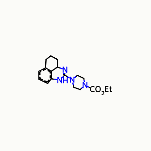 CCOC(=O)N1CCN(C2=NC3CCCc4cccc(c43)N2)CC1